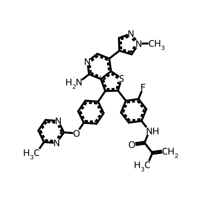 C=C(C)C(=O)Nc1ccc(-c2sc3c(-c4cnn(C)c4)cnc(N)c3c2-c2ccc(Oc3nccc(C)n3)cc2)c(F)c1